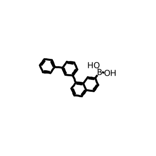 OB(O)c1ccc2cccc(-c3cccc(-c4ccccc4)c3)c2c1